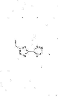 CCn1cnc(-c2nnco2)n1